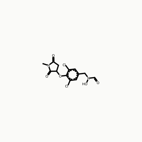 CN1C(=O)CC(Oc2c(Cl)cc(CN(O)C=O)cc2Cl)C1=O